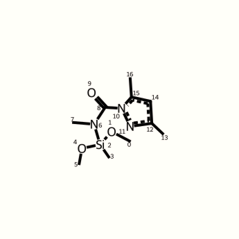 CO[Si](C)(OC)N(C)C(=O)n1nc(C)cc1C